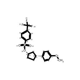 COc1ccc([C@@H]2CC[C@H](OS(=O)(=O)c3ccc(C(F)(F)F)cc3)C2)cc1